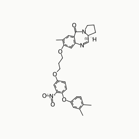 Cc1ccc(Oc2ccc(OCCCOc3cc4c(cc3C)C(=O)N3CCC[C@H]3C=N4)cc2[N+](=O)[O-])cc1C